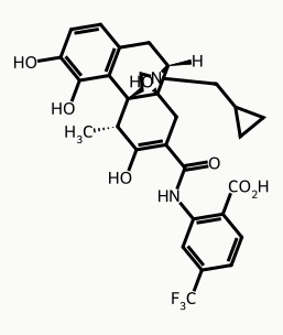 C[C@H]1C(O)=C(C(=O)Nc2cc(C(F)(F)F)ccc2C(=O)O)C[C@@]2(O)[C@H]3Cc4ccc(O)c(O)c4[C@@]12CCN3CC1CC1